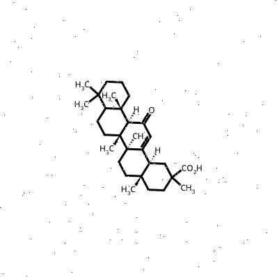 CC1(C(=O)O)CC[C@]2(C)CC[C@]3(C)C(=CC(=O)[C@@H]4[C@@]5(C)CCCC(C)(C)C5CC[C@]43C)[C@H]2C1